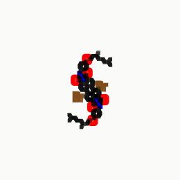 CC(C)=CCC[C@H](C)CCOc1ccc(CN2C(=O)c3ccc4c5c(Br)cc6c7c(cc(Br)c(c8ccc(c3c48)C2=O)c75)C(=O)N(Cc2ccc(OCC[C@@H](C)CCC=C(C)C)cc2)C6=O)cc1